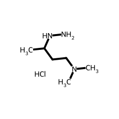 CC(CCN(C)C)NN.Cl